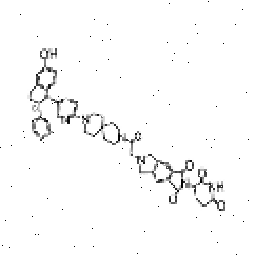 O=C1CCC(N2C(=O)c3cc4c(cc3C2=O)CN(CC(=O)N2CCC3(CC2)CCN(c2ccc([C@@H]5c6ccc(O)cc6CC[C@@H]5c5ccccc5)cn2)CC3)C4)C(=O)N1